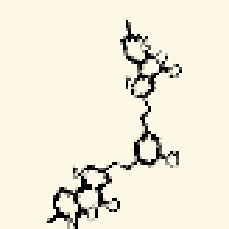 Cc1ccc2c(n1)oc(=O)c1cc(CCc3cc(Cl)cc(CCc4cnc5c(c4)c(=O)oc4nc(C)ccc45)c3)cnc12